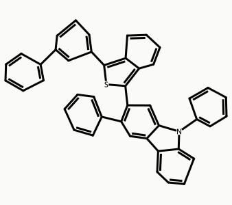 c1ccc(-c2cccc(-c3sc(-c4cc5c(cc4-c4ccccc4)c4ccccc4n5-c4ccccc4)c4ccccc34)c2)cc1